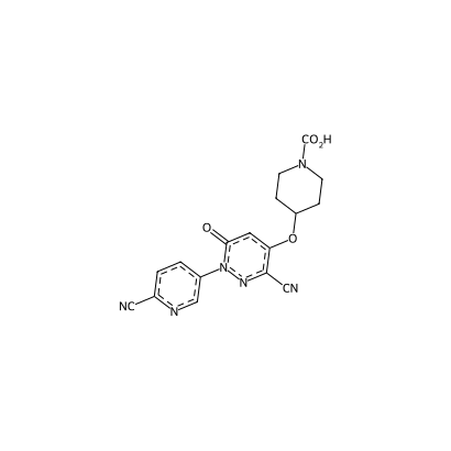 N#Cc1ccc(-n2nc(C#N)c(OC3CCN(C(=O)O)CC3)cc2=O)cn1